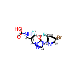 O=C(O)NCC(=CF)Cn1ncn(-c2ncc(Br)cc2F)c1=O